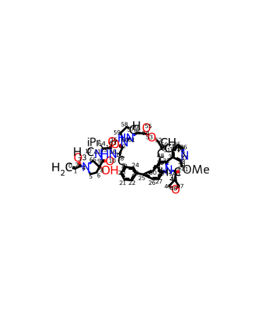 C=CC(=O)N1CCC(O)(C(=O)N(C)[C@H](C(=O)N[C@H]2Cc3cccc(c3)-c3ccc4c(c3)c(c(-c3cccnc3[C@H](C)OC)n4CC3COC3)CC(C)(C)COC(=O)[C@@H]3CCCN(N3)C2=O)C(C)C)C1